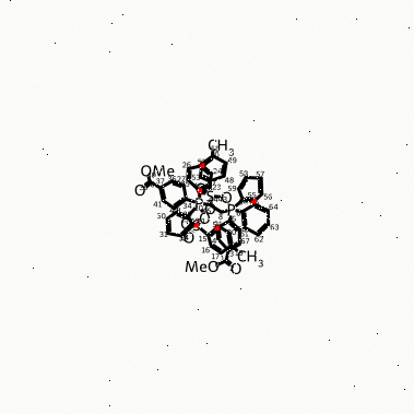 COC(=O)c1ccc(P(CCP(OS(=O)(=O)c2ccc(C)cc2)(c2ccccc2)(c2ccccc2)c2ccc(C(=O)OC)cc2)(OS(=O)(=O)c2ccc(C)cc2)(c2ccccc2)c2ccccc2)cc1